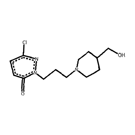 O=c1ccc(Cl)nn1CCCN1CCC(CO)CC1